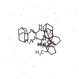 CC1(C)C2CCC1(C)C(N=C(NC1CC3CCC1(C)C3(C)C)N(N)C(=NC13CC4CC(CC(C4)C1)C3)NC13CC4CC(CC(C4)C1)C3)C2